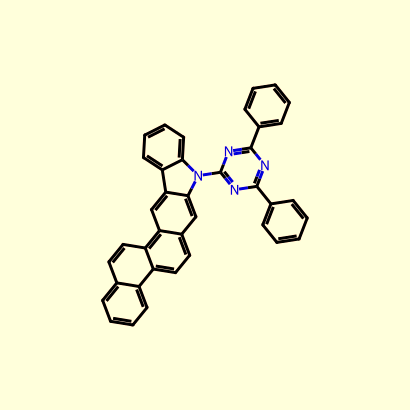 c1ccc(-c2nc(-c3ccccc3)nc(-n3c4ccccc4c4cc5c(ccc6c7ccccc7ccc56)cc43)n2)cc1